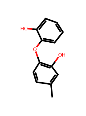 Cc1ccc(Oc2ccccc2O)c(O)c1